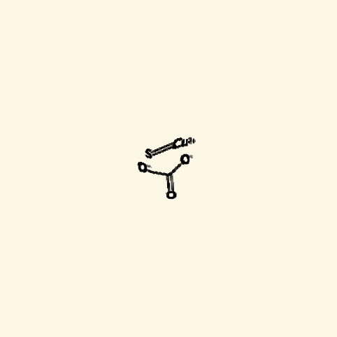 O=C([O-])[O-].[S]=[Cu+2]